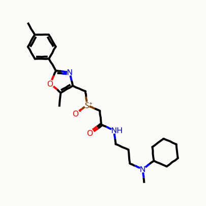 Cc1ccc(-c2nc(C[S+]([O-])CC(=O)NCCCN(C)C3CCCCC3)c(C)o2)cc1